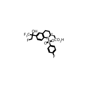 O=C(O)C[C@@H]1CCc2cc(C(O)(CF)C(F)(F)F)ccc2N1S(=O)(=O)c1ccc(F)cc1